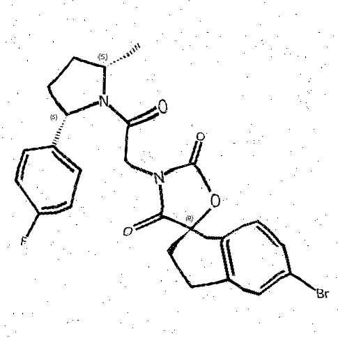 C[C@H]1CC[C@@H](c2ccc(F)cc2)N1C(=O)CN1C(=O)O[C@@]2(CCc3cc(Br)ccc32)C1=O